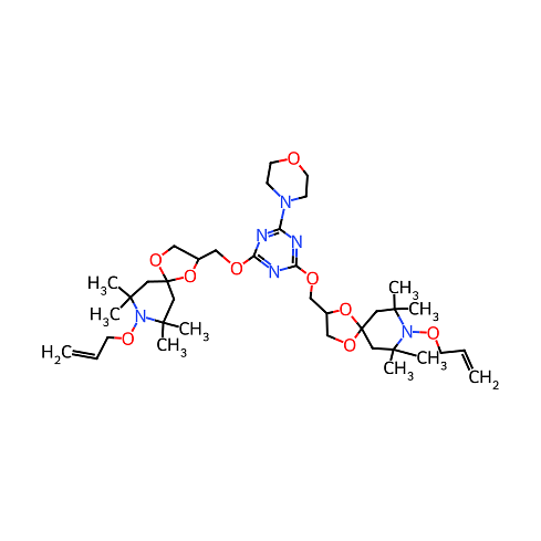 C=CCON1C(C)(C)CC2(CC1(C)C)OCC(COc1nc(OCC3COC4(CC(C)(C)N(OCC=C)C(C)(C)C4)O3)nc(N3CCOCC3)n1)O2